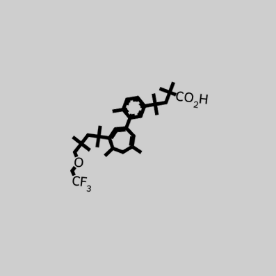 CC1=CC(c2cc(C(C)(C)CC(C)(C)C(=O)O)ccc2C)=C=C(C(C)(C)CC(C)(C)COCC(F)(F)F)C(C)C1